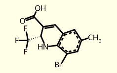 Cc1cc(Br)c2c(c1)C=C(C(=O)O)[C@@H](C(F)(F)F)N2